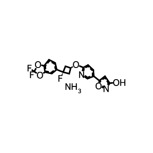 N.Oc1cc(-c2ccc(O[C@H]3C[C@@](F)(c4ccc5c(c4)OC(F)(F)O5)C3)nc2)on1